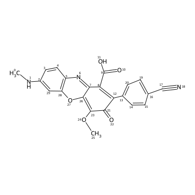 CNc1ccc2nc3c(C(=O)O)c(-c4ccc(C#N)cc4)c(=O)c(OC)c-3oc2c1